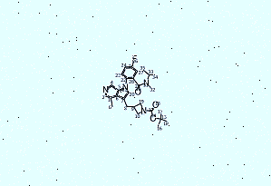 Cc1cncc2c1c(CC1CN(C(=O)OC(C)(C)C)C1)cn2-c1ccc(F)cc1C(=O)N(C)C(C)C